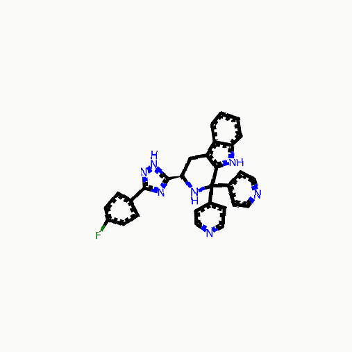 Fc1ccc(-c2n[nH]c([C@H]3Cc4c([nH]c5ccccc45)C(c4ccncc4)(c4ccncc4)N3)n2)cc1